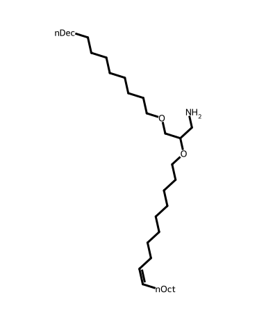 CCCCCCCC/C=C\CCCCCCCCOC(CN)COCCCCCCCCCCCCCCCCCC